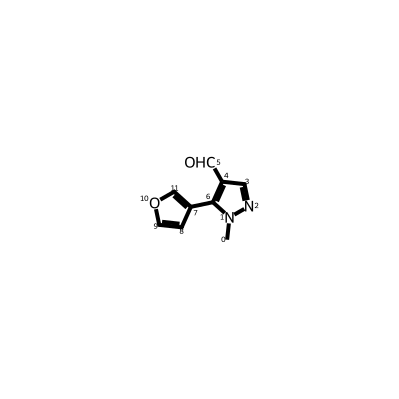 Cn1ncc(C=O)c1-c1ccoc1